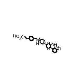 CC1(NCc2ccc(/C=C/C(=O)O)cc2)CCN(c2cnc(-c3cccc(Cl)c3Cl)c(N)n2)CC1